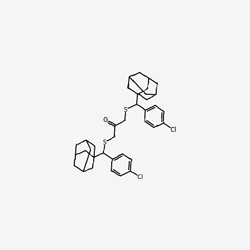 O=C(CSC(c1ccc(Cl)cc1)C12CC3CC(CC(C3)C1)C2)CSC(c1ccc(Cl)cc1)C12CC3CC(CC(C3)C1)C2